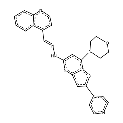 C(=N\Nc1cc(N2CCOCC2)n2nc(-c3ccncc3)cc2n1)/c1ccnc2ccccc12